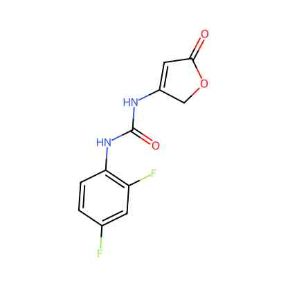 O=C(NC1=CC(=O)OC1)Nc1ccc(F)cc1F